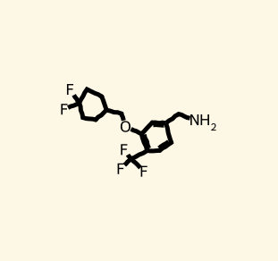 NCc1ccc(C(F)(F)F)c(OCC2CCC(F)(F)CC2)c1